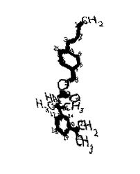 C=CCCC1CCC(COC(=O)NC(C)(C)c2cccc(C(=C)C)c2)CC1